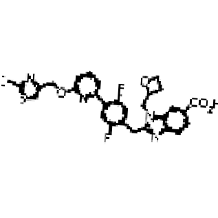 O=C(O)c1ccc2nc(Cc3cc(F)c(-c4cccc(OCc5csc(Cl)n5)n4)cc3F)n(CC3CCO3)c2c1